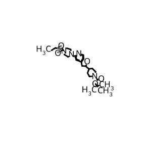 CCCS(=O)(=O)N1CCN(c2cc3c(cn2)OC(C2CCN(C(=O)OC(C)(C)C)CC2)C3)CC1